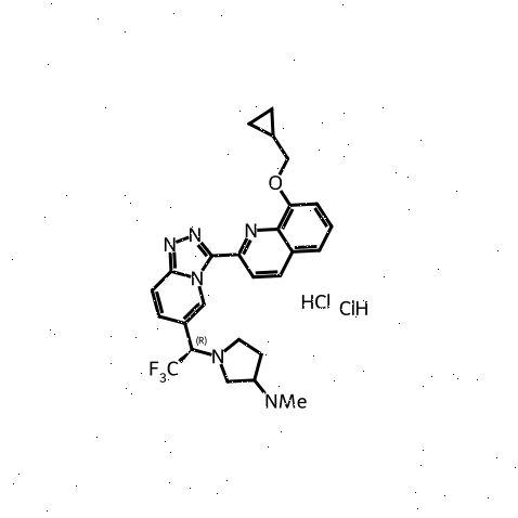 CNC1CCN([C@H](c2ccc3nnc(-c4ccc5cccc(OCC6CC6)c5n4)n3c2)C(F)(F)F)C1.Cl.Cl